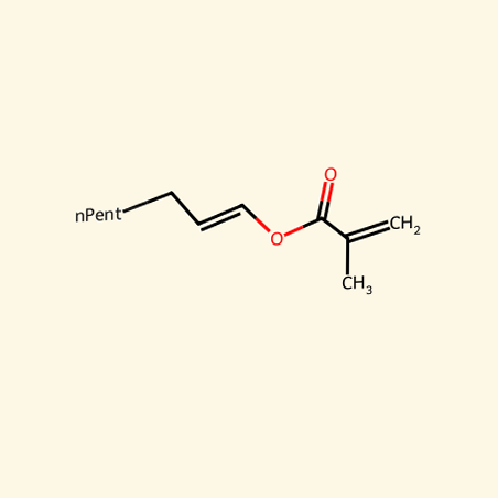 C=C(C)C(=O)OC=CCCCCCC